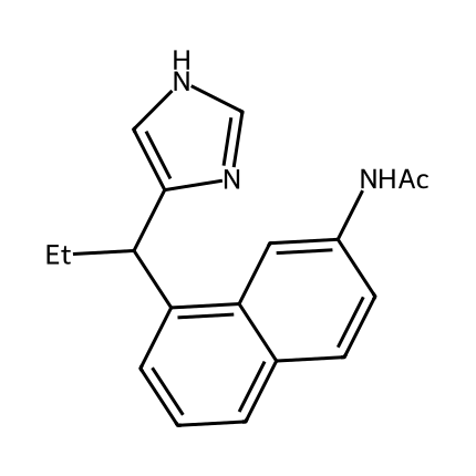 CCC(c1c[nH]cn1)c1cccc2ccc(NC(C)=O)cc12